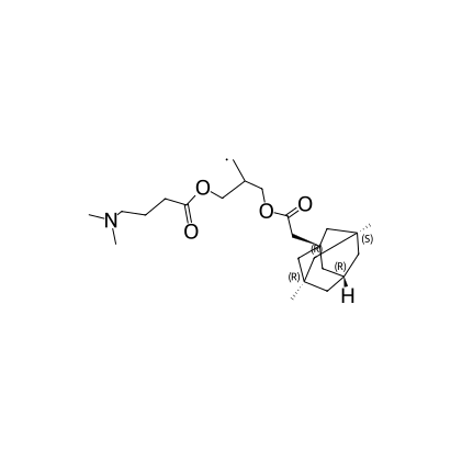 [CH2]C(COC(=O)CCCN(C)C)COC(=O)C[C@@]12C[C@@H]3C[C@@](C)(C[C@@](C)(C3)C1)C2